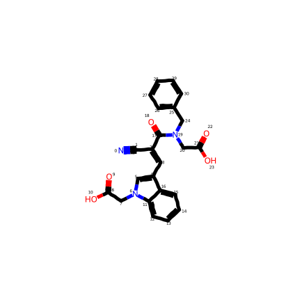 N#C/C(=C\c1cn(CC(=O)O)c2ccccc12)C(=O)N(CC(=O)O)Cc1ccccc1